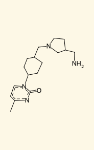 Cc1ccn(C2CCC(CN3CCC(CN)C3)CC2)c(=O)n1